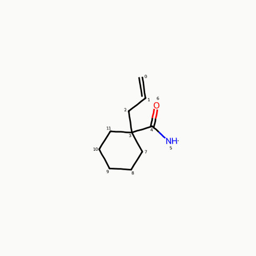 C=CCC1(C([NH])=O)CCCCC1